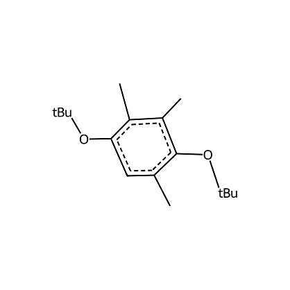 Cc1cc(OC(C)(C)C)c(C)c(C)c1OC(C)(C)C